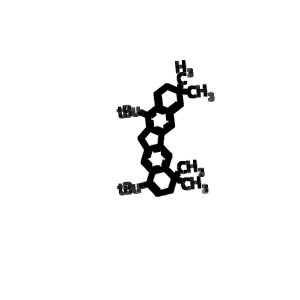 CC1(C)C=c2cc3c(c(C(C)(C)C)c2=CC1)Cc1cc2c(cc1-3)C(C)(C)CC=C2C(C)(C)C